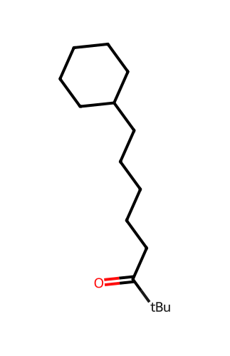 CC(C)(C)C(=O)CCCCCC1CCCCC1